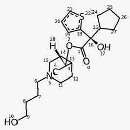 O=C(O[C@H]1C[N+]2(CCCCO)CCC1CC2)[C@](O)(c1cccs1)C1CCCC1